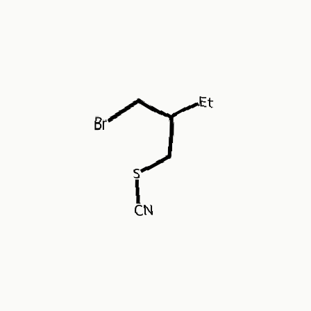 CCC(CBr)CSC#N